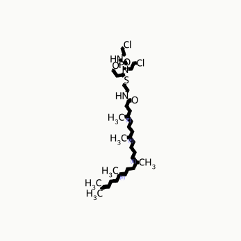 CC(C)=CCC/C(C)=C/CC/C(C)=C/CC/C=C(\C)CC/C=C(\C)CCC(=O)NCCSC1CCOP(=O)(NCCCl)N1CCCl